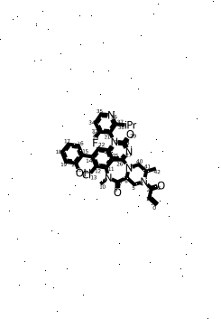 C=CC(=O)N1CC2C(=O)N(C)c3c(Cl)c(-c4ccccc4O)c(F)c4c3c(nc(=O)n4-c3c(C)ccnc3C(C)C)N2CC1C